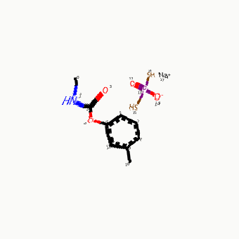 CNC(=O)Oc1cccc(C)c1.O=P([O-])(S)S.[Na+]